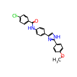 COc1ccc(-c2nc(-c3ccc(NC(=O)c4ccc(Cl)cc4)cc3)c[nH]2)cc1